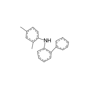 Cc1ccc(Nc2ccccc2-c2ccccc2)c(C)c1